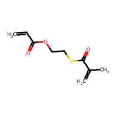 C=CC(=O)OCCSC(=O)C(=C)C